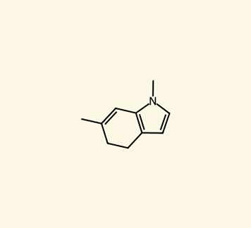 CC1=Cc2c(ccn2C)CC1